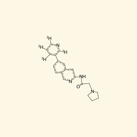 [2H]c1nc([2H])c(-c2ccc3cnc(NC(=O)CN4CCCC4)cc3c2)c([2H])c1[2H]